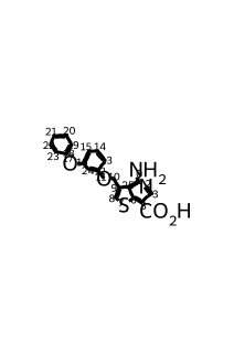 Nc1ncc(C(=O)O)c2scc(COc3cccc(Oc4ccccc4)c3)c12